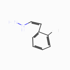 Cc1ccccc1/C=C\NN